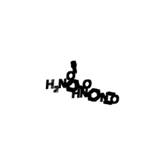 C#CCOc1cc(C(=O)N[C@H]2CC[C@H](N3CCOCC3)CC2)ccc1N